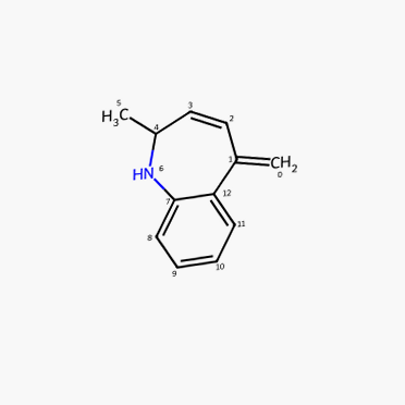 C=C1C=CC(C)Nc2ccccc21